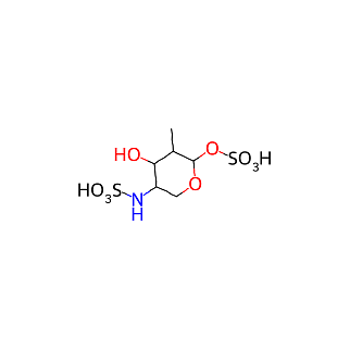 CC1C(OS(=O)(=O)O)OCC(NS(=O)(=O)O)C1O